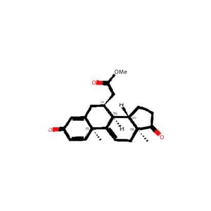 COC(=O)C[C@@H]1CC2=CC(=O)C=C[C@]2(C)C2=CC[C@]3(C)C(=O)CC[C@H]3[C@@H]21